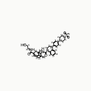 CS(=O)(=O)N1CCN(c2ccc(N3CCN(C(=O)NC4[C@@H]5CC6C[C@H]4CC(C(=O)NCCO)(C6)C5)c4ccccc43)cc2)CC1